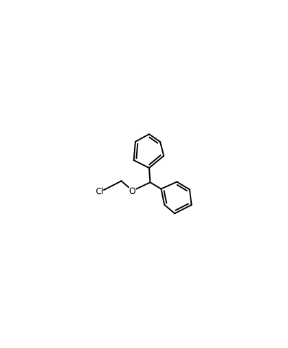 ClCOC(c1ccccc1)c1ccccc1